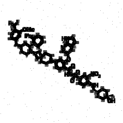 COc1cc(CN2CCN(C3CC4(CCN(c5ccc(C(=O)NS(=O)(=O)c6ccc(NC[C@H]7CC[C@](C)(O)CC7)c([N+](=O)[O-])c6)c(Oc6cnc7[nH]ccc7c6)c5)CC4)C3)[C@H](c3ccccc3C(C)C)C2)ccc1C(F)F